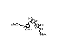 COCCCOc1cc(C[C@@H](C[C@H](N)[C@@H](O)C[C@@H](C)C(=O)NCCNC(C)=O)C(C)C)ccc1OC.Cl